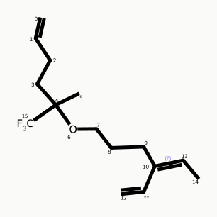 C=CCCC(C)(OCCC/C(C=C)=C/C)C(F)(F)F